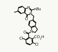 CCCCc1nc2ccc(C)cc2c(=O)n1Cc1ccc2c(c1)CCN2C(=O)c1c(Cl)ccc(Cl)c1C(=O)O